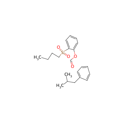 CC(C)Cc1ccccc1.CCCCS(=O)(=O)c1ccccc1OC=O